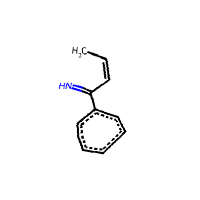 C/C=C\C(=N)c1ccccc1